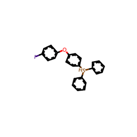 Ic1ccc(Oc2ccc([SH](c3ccccc3)c3ccccc3)cc2)cc1